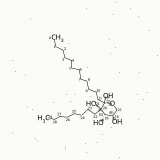 CCCCCCCCCCCCC1(O)OC[C@@H](O)[C@H](O)[C@]1(O)CCCCCCCC